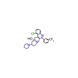 O=C(O)c1c(CN2CCC(N3CCCCC3)CC2)c(-c2cccc(C(F)(F)F)c2)nc2cccc(Cl)c12